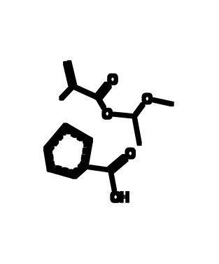 C=C(C)C(=O)OC(C)OC.O=C(O)c1ccccc1